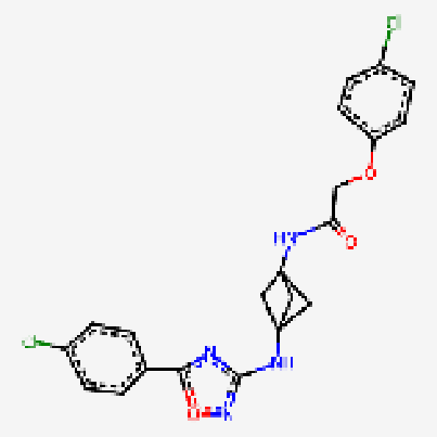 O=C(COc1ccc(Cl)cc1)NC12CC(Nc3noc(-c4ccc(Cl)cc4)n3)(C1)C2